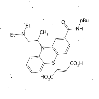 CCCCNC(=O)c1ccc2c(c1)N(C(C)CN(CC)CC)c1ccccc1S2.O=C(O)C=CC(=O)O